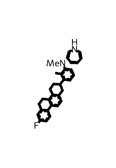 C1=CC=CNC=C1.CNc1cccc(C2CCc3c(ccc4c3CCc3cc(F)ccc3-4)C2)c1C